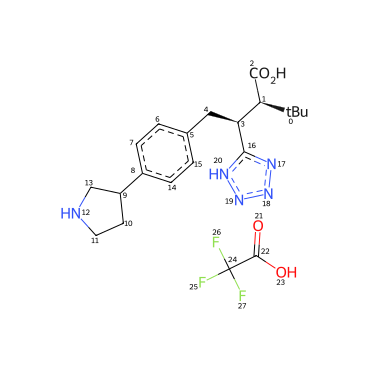 CC(C)(C)[C@H](C(=O)O)[C@H](Cc1ccc(C2CCNC2)cc1)c1nnn[nH]1.O=C(O)C(F)(F)F